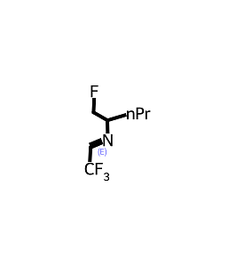 CCCC(CF)/N=C/C(F)(F)F